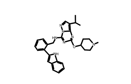 CC(C)c1cnn2c(NCc3ccccc3-c3cc4ccccc4[nH]3)nc(OC3CCN(C)CC3)nc12